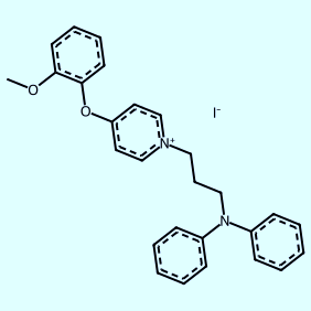 COc1ccccc1Oc1cc[n+](CCCN(c2ccccc2)c2ccccc2)cc1.[I-]